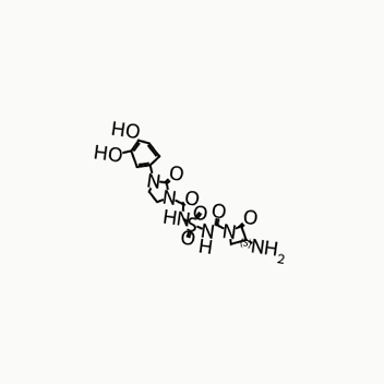 N[C@H]1CN(C(=O)NS(=O)(=O)NC(=O)N2CCN(c3ccc(O)c(O)c3)C2=O)C1=O